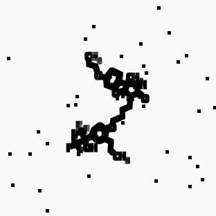 CCCOc1ccc(C2(C)NC(=O)N(CCCCOc3ccc(C(O)(C(F)(F)F)C(F)(F)F)cc3CCC)C2=O)cc1